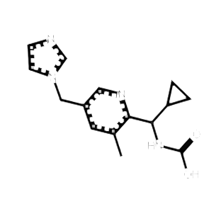 Cc1cc(Cn2ccnc2)cnc1C(NC(=O)O)C1CC1